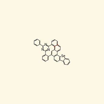 c1ccc(-c2nc(-c3ccccc3)nc(-c3ccccc3-c3cc4ccccc4c4c3ccc3c5ccccc5[se]c34)n2)cc1